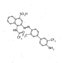 Nc1ccc(-c2ccc(/N=N/c3cc(S(=O)(=O)O)c4ccccc4c3NC(=O)C(F)(F)F)c(C(F)(F)F)c2)cc1C(F)(F)F